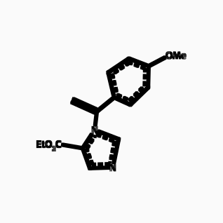 C=C(c1ccc(OC)cc1)n1cncc1C(=O)OCC